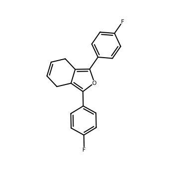 Fc1ccc(-c2oc(-c3ccc(F)cc3)c3c2CC=CC3)cc1